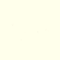 COC(=O)C1(C)COC(=O)C(C)(C)C1